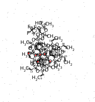 C=C[Si](C)(C)O[Si](C)(C=C)O[Si](C)(C=C)O[Si](C)(C=C)O[Si](C)(C=C)O[Si](C)(C=C)O[Si](C)(C=C)O[Si](C)(C=C)O[Si](C)(C=C)O[Si](C)(C=C)O[Si](C)(C=C)O[Si](C)(C=C)O[Si](C)(C=C)O[Si](C)(C=C)O[Si](C)(C=C)O[Si](C)(C=C)O[Si](C)(O)CCC(F)(F)F